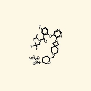 CNS(=O)(=O)N[C@@H]1CC[C@@H](CN2CCC3(CC2)CN(c2ncncc2Oc2ccc(F)cc2C(=O)N(CC(F)(F)F)C(C)C)C3)OC1